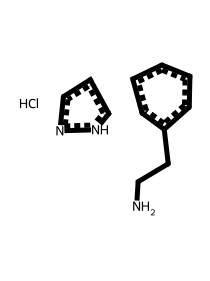 Cl.NCCc1ccccc1.c1cn[nH]c1